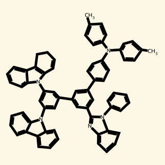 Cc1ccc(N(c2ccc(C)cc2)c2ccc(-c3cc(-c4cc(-n5c6c(c7ccccc75)CCC=C6)cc(-n5c6ccccc6c6ccccc65)c4)cc(-c4nc5ccccc5n4-c4ccccc4)c3)cc2)cc1